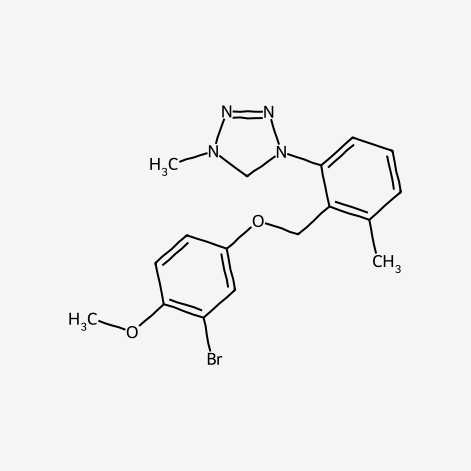 COc1ccc(OCc2c(C)cccc2N2CN(C)N=N2)cc1Br